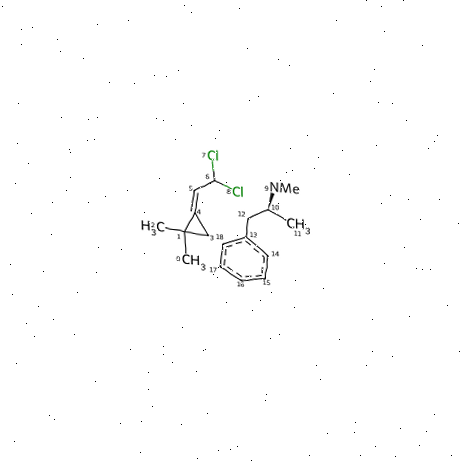 CC1(C)CC1=CC(Cl)Cl.CN[C@@H](C)Cc1ccccc1